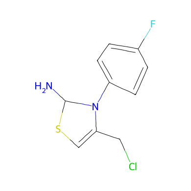 NC1SC=C(CCl)N1c1ccc(F)cc1